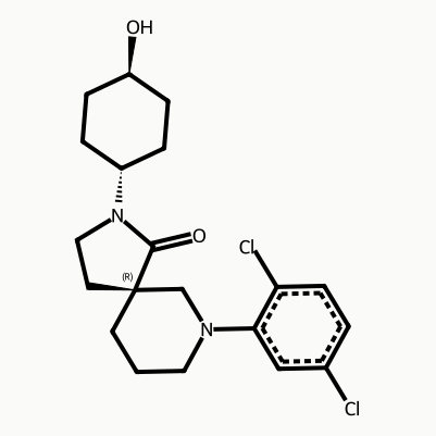 O=C1N([C@H]2CC[C@H](O)CC2)CC[C@@]12CCCN(c1cc(Cl)ccc1Cl)C2